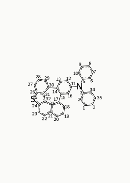 c1ccc(N(c2ccccc2)c2ccc3c(c2)-c2cccc4ccc5sc6cccc-3c6c5c24)cc1